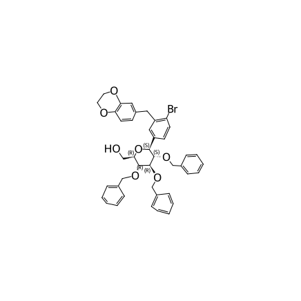 OC[C@H]1O[C@@H](c2ccc(Br)c(Cc3ccc4c(c3)OCCO4)c2)[C@H](OCc2ccccc2)[C@@H](OCc2ccccc2)[C@@H]1OCc1ccccc1